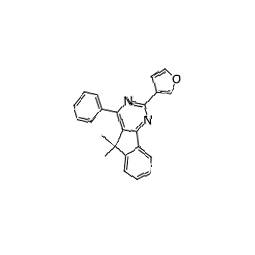 CC1(C)c2ccccc2-c2nc(-c3ccoc3)nc(-c3ccccc3)c21